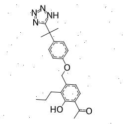 CCCc1c(COc2ccc(C(C)(C)c3nnn[nH]3)cc2)ccc(C(C)=O)c1O